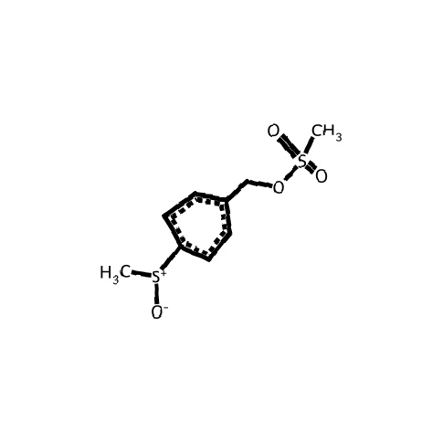 C[S+]([O-])c1ccc(COS(C)(=O)=O)cc1